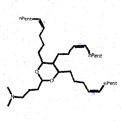 CCCCC/C=C\CCCC1OC(CCCN(C)C)OC(CCC/C=C\CCCCC)C1CC/C=C\CCCCC